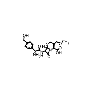 COCC1=C(C(=O)O)N2C(=O)C(NC(=O)C(N)c3ccc(CO)cc3)[C@@H]2SC1